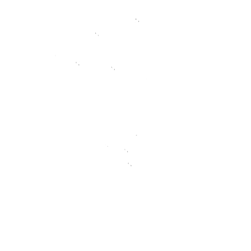 CCC(=O)N1N=C(c2cc(F)ccc2F)SC1(CCCN/C(=N\C#N)NC)c1ccccc1